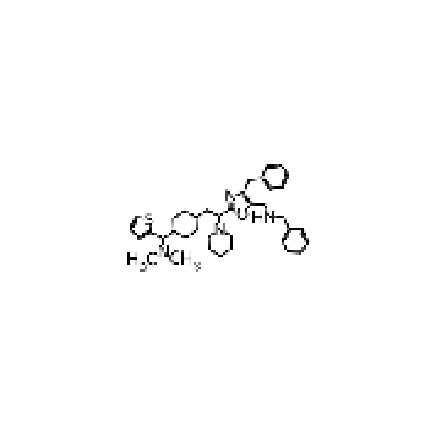 CN(C)C(c1cccs1)C1CCC(CC(c2nc(Cc3ccccc3)c(CNCc3ccccc3)o2)N2CCCCC2)CC1